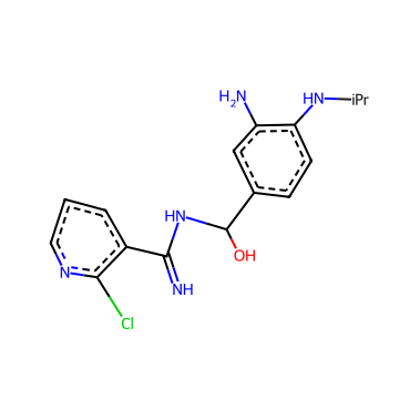 CC(C)Nc1ccc(C(O)NC(=N)c2cccnc2Cl)cc1N